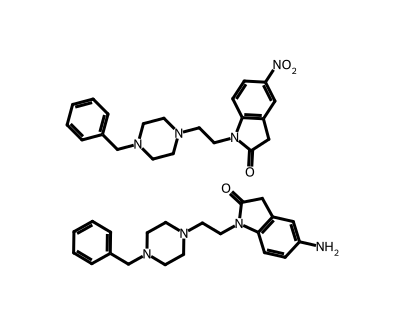 Nc1ccc2c(c1)CC(=O)N2CCN1CCN(Cc2ccccc2)CC1.O=C1Cc2cc([N+](=O)[O-])ccc2N1CCN1CCN(Cc2ccccc2)CC1